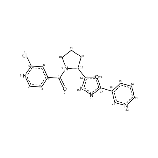 O=C(c1ccnc(Cl)c1)N1CCCC1c1nnc(-c2cccnc2)o1